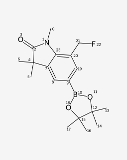 CN1C(=O)C(C)(C)c2cc(B3OC(C)(C)C(C)(C)O3)cc(CF)c21